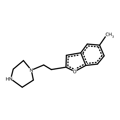 Cc1ccc2oc(CCN3CCNCC3)cc2c1